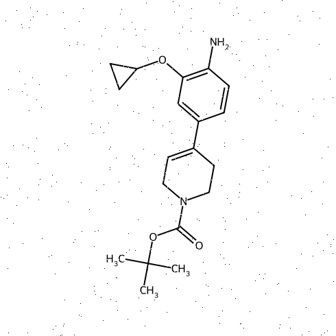 CC(C)(C)OC(=O)N1CC=C(c2ccc(N)c(OC3CC3)c2)CC1